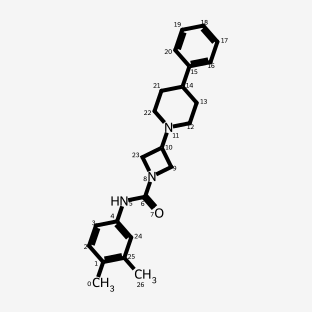 Cc1ccc(NC(=O)N2CC(N3CCC(c4ccccc4)CC3)C2)cc1C